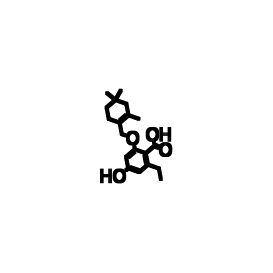 CCc1cc(O)cc(OCC2=C(C)CC(C)(C)CC2)c1C(=O)O